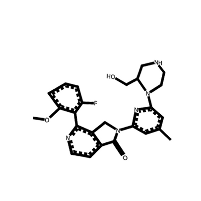 COc1cccc(F)c1-c1nccc2c1CN(c1cc(C)cc(N3CCNCC3CO)n1)C2=O